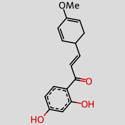 COC1=CCC(C=CC(=O)c2ccc(O)cc2O)C=C1